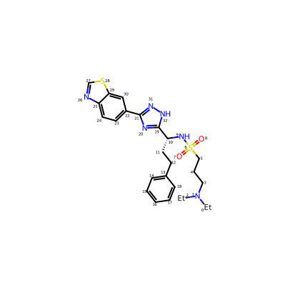 CCN(CC)CCCS(=O)(=O)N[C@H](CCc1ccccc1)c1nc(-c2ccc3ncsc3c2)n[nH]1